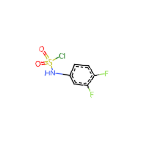 O=S(=O)(Cl)Nc1ccc(F)c(F)c1